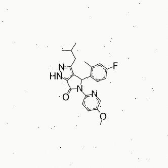 COc1ccc(N2C(=O)c3[nH]nc(CC(C)C)c3C2c2ccc(F)cc2C)nc1